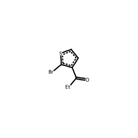 CCC(=O)c1ccsc1Br